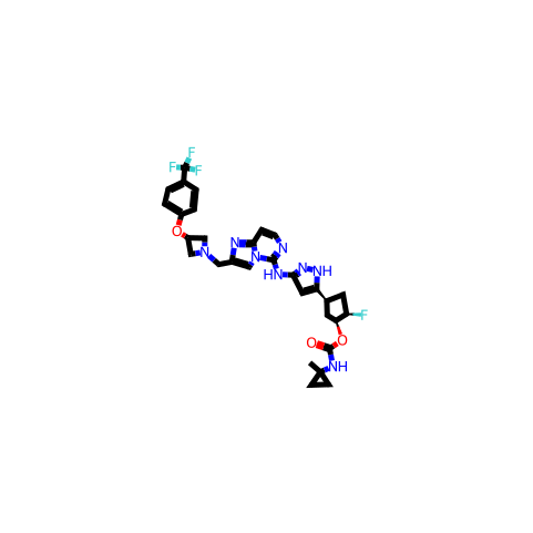 CC1(NC(=O)O[C@H]2C[C@@H](c3cc(Nc4nccc5nc(CN6CC(Oc7ccc(C(F)(F)F)cc7)C6)cn45)n[nH]3)C[C@H]2F)CC1